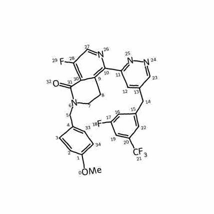 COc1ccc(CN2CCc3c(-c4cc(Cc5cc(F)cc(C(F)(F)F)c5)cnn4)ncc(F)c3C2=O)cc1